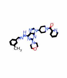 Cc1cccc(/C=N/Nc2nc(N3CCOCC3)nc3c2ncn3C2CCN(C(=O)c3ccccn3)CC2)c1